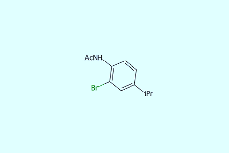 CC(=O)Nc1ccc(C(C)C)cc1Br